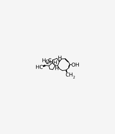 C#C[C@]1(O)CC[C@H]2[C@@H]3CCC(=C)/C=C(O)\C=C/C[C@H]3CC[C@@]21C